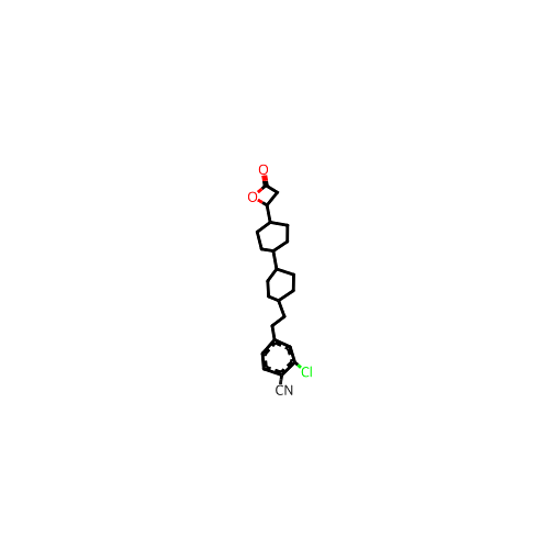 N#Cc1ccc(CCC2CCC(C3CCC(C4CC(=O)O4)CC3)CC2)cc1Cl